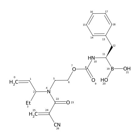 C=CC(CC)N(CCOC(=O)N[C@@H](Cc1ccccc1)B(O)O)C(=O)C(=C)C#N